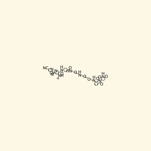 N#Cc1cnc2c(cnn2-c2cc(NC3CC3)c(C(=O)N[C@H]3CC[C@H](C(=O)NCCOCCNCCOCCOCCNc4cccc5c4C(=O)N(C4CCC(=O)NC4=O)C5=O)CC3)cn2)c1